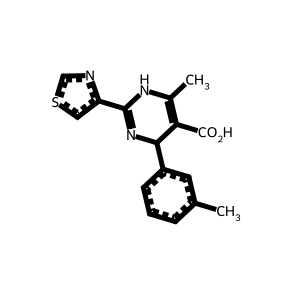 CC1=C(C(=O)O)C(c2cccc(C)c2)N=C(c2cscn2)N1